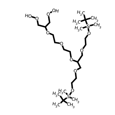 CC(C)(C)[Si](C)(C)OCCOCC(COCCO[Si](C)(C)C(C)(C)C)OCCOCCOC(COO)COO